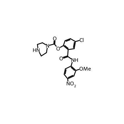 COc1cc([N+](=O)[O-])ccc1NC(=O)c1cc(Cl)ccc1OC(=O)N1CCNCC1